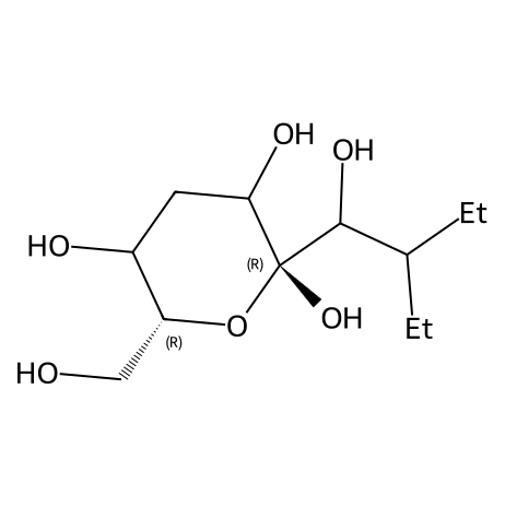 CCC(CC)C(O)[C@]1(O)O[C@H](CO)C(O)CC1O